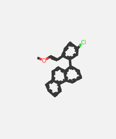 CO/C=C/c1ccc(Cl)cc1-c1cccc2c1ccc1ccccc12